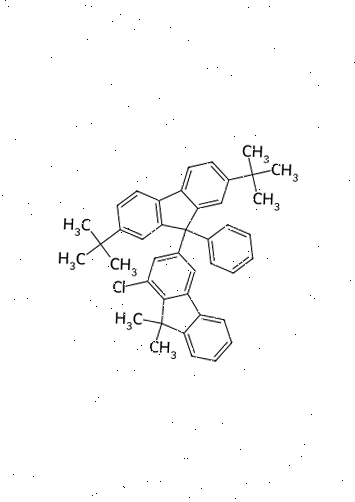 CC(C)(C)c1ccc2c(c1)C(c1ccccc1)(c1cc(Cl)c3c(c1)-c1ccccc1C3(C)C)c1cc(C(C)(C)C)ccc1-2